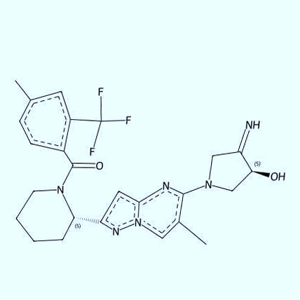 Cc1ccc(C(=O)N2CCCC[C@H]2c2cc3nc(N4CC(=N)[C@@H](O)C4)c(C)cn3n2)c(C(F)(F)F)c1